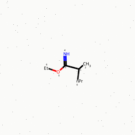 CCCC(C)C(=N)OCC